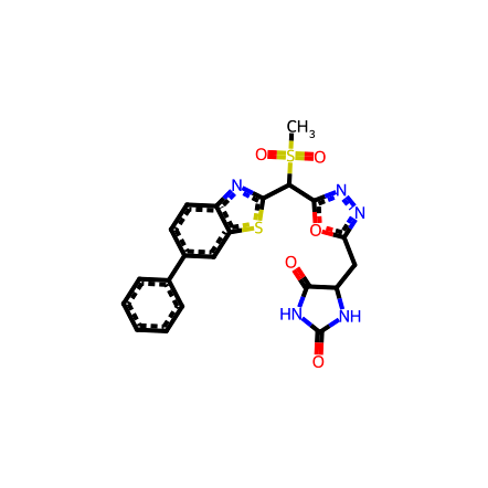 CS(=O)(=O)C(c1nnc(CC2NC(=O)NC2=O)o1)c1nc2ccc(-c3ccccc3)cc2s1